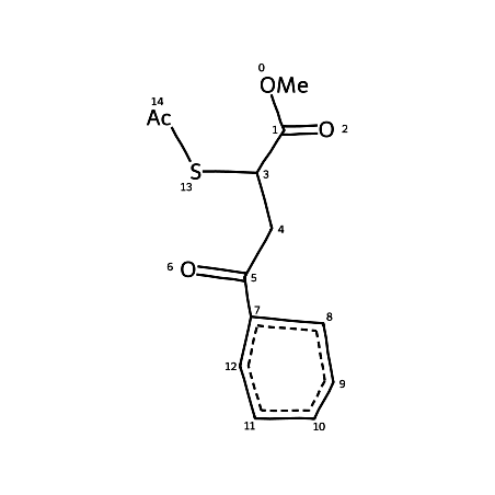 COC(=O)C(CC(=O)c1ccccc1)SC(C)=O